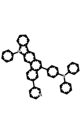 c1ccc(N(c2ccccc2)c2ccc(-c3cc4cc5c6ccccc6n(-c6ccccc6)c5cc4c4ccc(-c5cccnc5)cc34)cc2)cc1